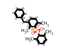 Cc1cccc(C)c1P(=O)(O)c1c(C)ccc(Cc2ccccc2)c1C